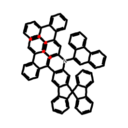 c1ccc2c(c1)-c1ccccc1C21c2ccccc2-c2cc(-c3cc4ccccc4c4ccccc34)c(N(c3ccc4c5ccccc5c5ccccc5c4c3)c3cc4ccccc4c4ccccc34)cc21